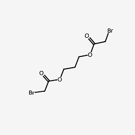 O=C(CBr)OCCCOC(=O)CBr